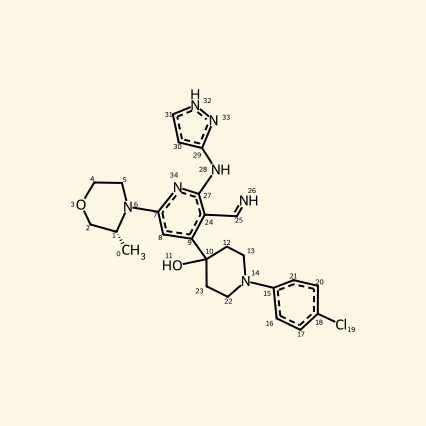 C[C@@H]1COCCN1c1cc(C2(O)CCN(c3ccc(Cl)cc3)CC2)c(C=N)c(Nc2cc[nH]n2)n1